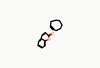 C1#CCCCCCC1.O=c1ccc2ccccc2o1